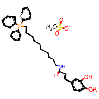 CS(=O)(=O)[O-].O=C(C=Cc1ccc(O)c(O)c1)NCCCCCCCCCC[P+](c1ccccc1)(c1ccccc1)c1ccccc1